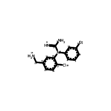 CCc1cccc(N(C(=N)N)c2cc(CN)ccc2Cl)c1